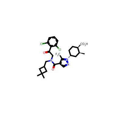 C[C@H]1C[C@H](n2ncc(C(=O)N(CC(=O)c3c(Cl)cccc3Cl)CC3CC(C)(C)C3)c2C(F)(F)F)CC[C@H]1C(=O)O